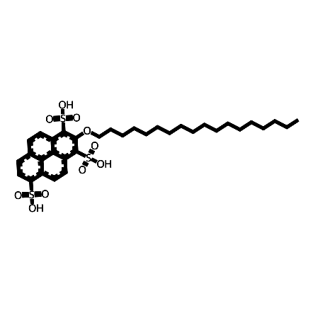 CCCCCCCCCCCCCCCCCCOc1c(S(=O)(=O)O)c2ccc3ccc(S(=O)(=O)O)c4ccc(c1S(=O)(=O)O)c2c34